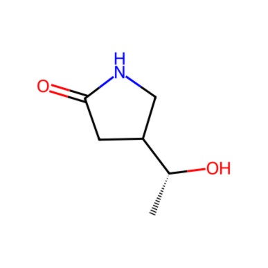 C[C@@H](O)C1CNC(=O)C1